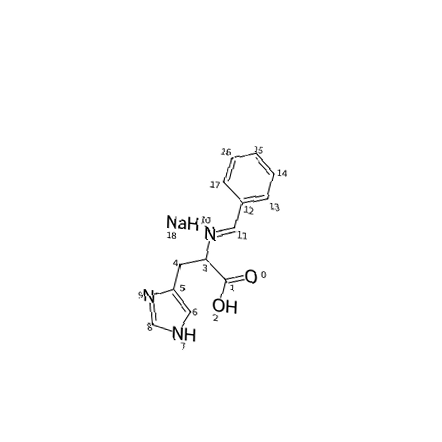 O=C(O)C(Cc1c[nH]cn1)N=Cc1ccccc1.[NaH]